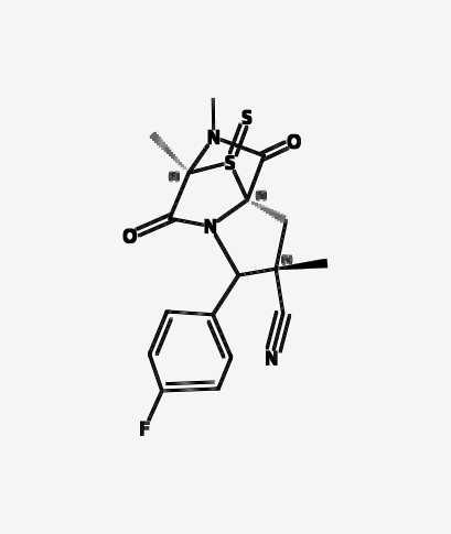 CN1C(=O)[C@@]23C[C@](C)(C#N)C(c4ccc(F)cc4)N2C(=O)[C@]1(C)S3=S